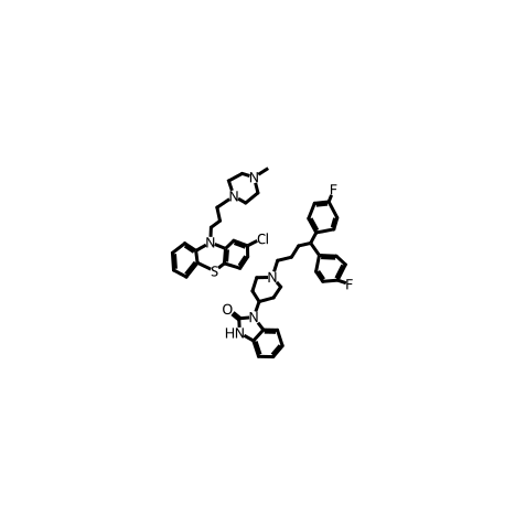 CN1CCN(CCCN2c3ccccc3Sc3ccc(Cl)cc32)CC1.O=c1[nH]c2ccccc2n1C1CCN(CCCC(c2ccc(F)cc2)c2ccc(F)cc2)CC1